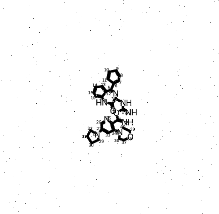 N=C(NC1N=C(c2ccccc2)c2ccccc2NC1=O)OC(=N)c1ncc(N2CCCC2)cc1N1CCOCC1